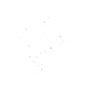 N#Cc1c(-c2ccc3c(c2)c2ccccc2n3-c2ccccc2)c(-c2ccc3c(c2)c2ccccc2n3-c2ccccc2)c(-c2ccc3c(c2)c2ccccc2n3-c2ccccc2)c(-c2nc(-c3ccccc3)cc(-c3ccccc3)n2)c1-c1ccc2c(c1)c1ccccc1n2-c1ccccc1